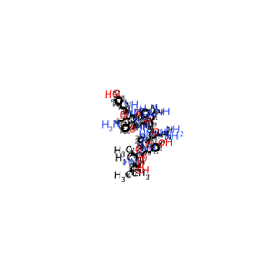 CC[C@H](C)[C@H](NC(=O)[C@H](Cc1ccc(O)cc1)NC(=O)[C@@H]1CCCN1C(=O)[C@H](CCCNC(=N)N)NC(=O)[C@H](CCCNC(=N)N)NC(=O)[C@H](Cc1ccccc1)NC(=O)[C@H](Cc1ccccc1)NC(=O)[C@@H](CCCCN)NC(=O)[C@@H](N)Cc1ccc(O)cc1)C(=O)N[C@@H](CC(C)C)C(=O)O